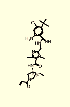 C=CC(=O)N1C[C@@H](CC)[C@@H](NC(=O)c2c(C)nc(CNC(=N)c3cc(C(C)(C)C)c(Cl)cc3N)n2C)C1